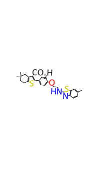 Cc1ccc2nc(NCCOc3ccc(-c4sc5c(c4C(=O)O)CC(C)(C)CC5)cc3)sc2c1